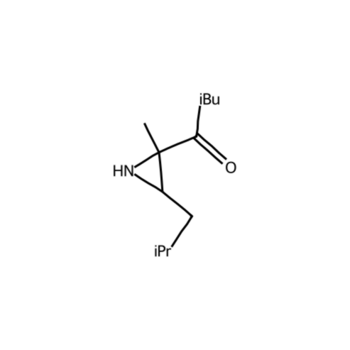 CCC(C)C(=O)C1(C)NC1CC(C)C